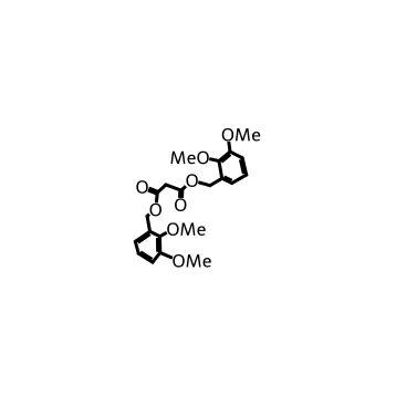 COc1cccc(COC(=O)CC(=O)OCc2cccc(OC)c2OC)c1OC